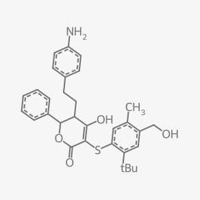 Cc1cc(SC2=C(O)C(CCc3ccc(N)cc3)C(c3ccccc3)OC2=O)c(C(C)(C)C)cc1CO